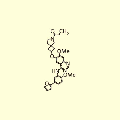 C=CC(=O)N1CCC2(CC(Oc3cc4c(Nc5cc(-c6ccco6)ccc5OC)ncnc4cc3OC)C2)C1